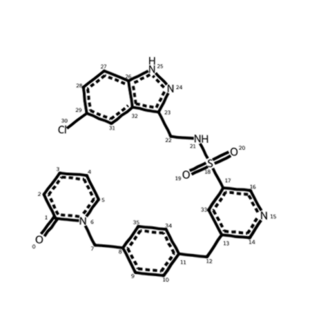 O=c1ccccn1Cc1ccc(Cc2cncc(S(=O)(=O)NCc3n[nH]c4ccc(Cl)cc34)c2)cc1